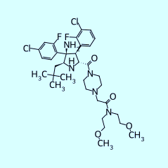 COCCN(CCOC)C(=O)CN1CCN(C(=O)[C@@H]2N[C@@H](CC(C)(C)C)[C@](N)(c3ccc(Cl)cc3F)[C@H]2c2cccc(Cl)c2F)CC1